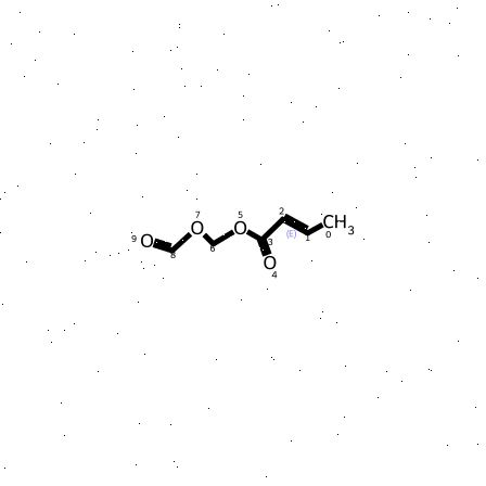 C/C=C/C(=O)OCOC=O